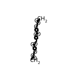 C=CC(=O)OCCOc1ccc(C(=O)OCCc2ccc(OC(=O)c3ccc(OCCOC(=O)C=C)cc3)cc2)cc1